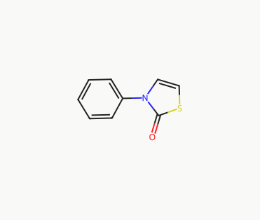 O=c1sccn1-c1ccccc1